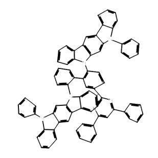 c1ccc(-c2cc(-c3ccccc3)nc(-c3ccc(-n4c5ccccc5c5cc6c7ccccc7n(-c7ccccc7)c6cc54)c(-c4ccccc4-n4c5ccccc5c5cc6c7ccccc7n(-c7ccccc7)c6cc54)c3)n2)cc1